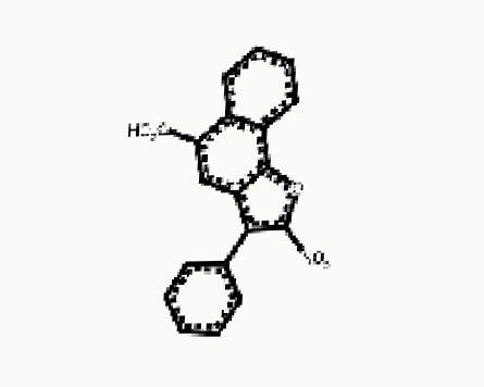 O=C(O)c1cc2c(-c3ccccc3)c([N+](=O)[O-])oc2c2ccccc12